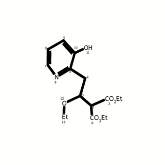 CCOC(=O)C(C(=O)OCC)C(Cc1ncccc1O)OCC